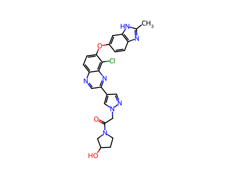 Cc1nc2ccc(Oc3ccc4ncc(-c5cnn(CC(=O)N6CCC(O)C6)c5)nc4c3Cl)cc2[nH]1